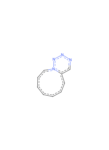 c1cccc2cnnnn2ccc1